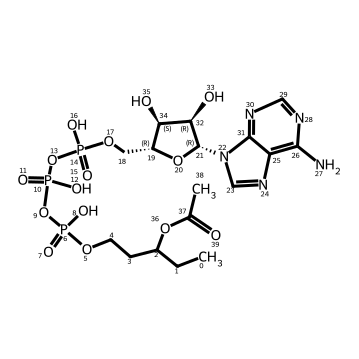 CCC(CCOP(=O)(O)OP(=O)(O)OP(=O)(O)OC[C@H]1O[C@@H](n2cnc3c(N)ncnc32)[C@H](O)[C@@H]1O)OC(C)=O